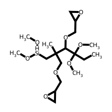 CCC(OC)(OC)C(OCC1CO1)C(C)(COCC1CO1)C[SiH](OC)OC